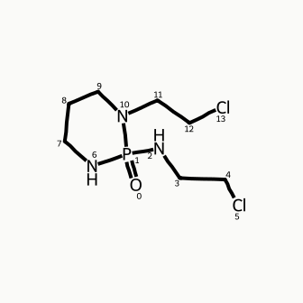 O=P1(NCCCl)NCCCN1CCCl